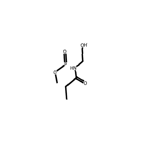 CCC(=O)NCO.COP=O